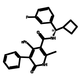 CCCc1c(C(=O)N[C@H](c2cccc(F)c2)C2CCC2)c(C)[nH]c(=O)c1-c1ccccc1